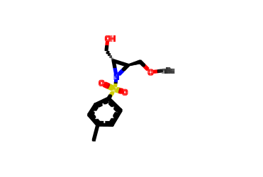 CCCCOC[C@@H]1[C@@H](CO)N1S(=O)(=O)c1ccc(C)cc1